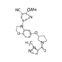 COc1ncc(N2CCOc3ccc(OC4CCN(C(=O)c5ccnn5C)C4)cc32)cc1C#N